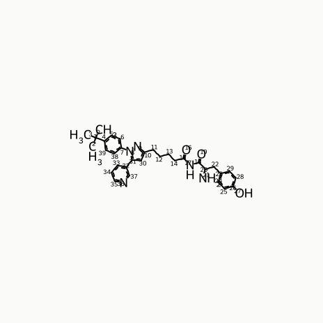 CC(C)(C)c1ccc(-n2nc(CCCCC(=O)NC(=O)C(N)Cc3ccc(O)cc3)cc2-c2cccnc2)cc1